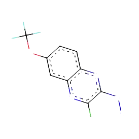 NNc1nc2ccc(OC(F)(F)F)cc2nc1Cl